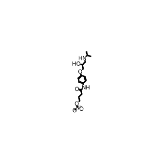 CC(C)NCC(O)COc1ccc(NC(=O)CCCO[N+](=O)[O-])cc1